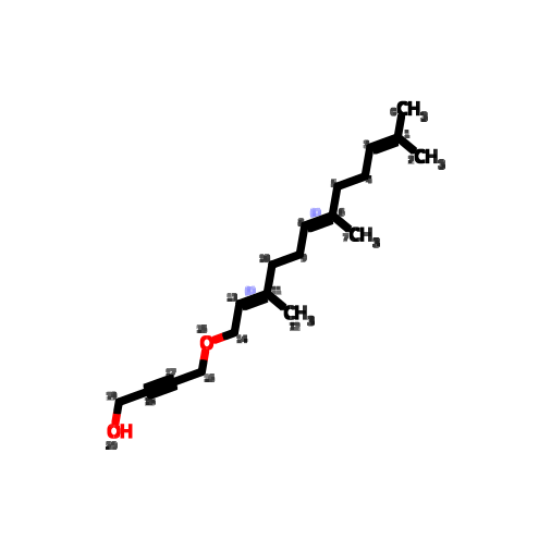 CC(C)=CCC/C(C)=C/CC/C(C)=C/COCC#CCO